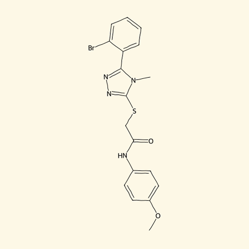 COc1ccc(NC(=O)CSc2nnc(-c3ccccc3Br)n2C)cc1